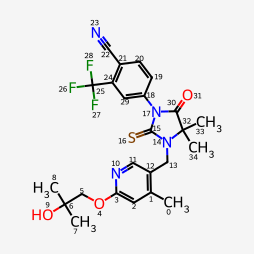 Cc1cc(OCC(C)(C)O)ncc1CN1C(=S)N(c2ccc(C#N)c(C(F)(F)F)c2)C(=O)C1(C)C